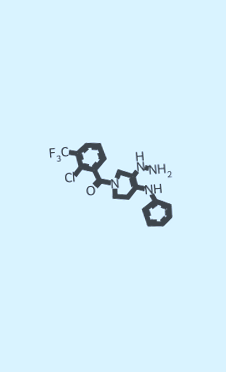 NNC1=C(Nc2ccccc2)CCN(C(=O)c2cccc(C(F)(F)F)c2Cl)C1